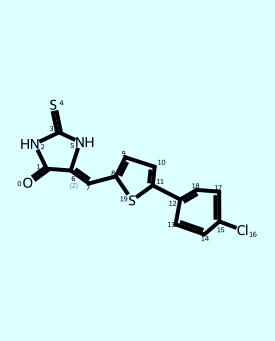 O=C1NC(=S)N/C1=C\c1ccc(-c2ccc(Cl)cc2)s1